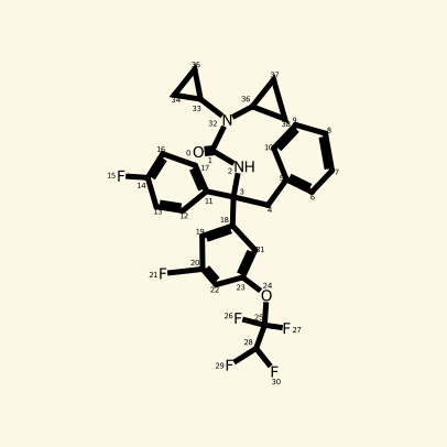 O=C(NC(Cc1ccccc1)(c1ccc(F)cc1)c1cc(F)cc(OC(F)(F)C(F)F)c1)N(C1CC1)C1CC1